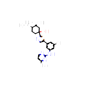 Cc1cc(Nc2nccc(C(C)(C)C)n2)cc(-c2cnc(C3(O)CCC(C(=O)O)C(C)(C)C3)s2)c1